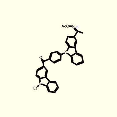 CCn1c2ccccc2c2cc(C(=O)c3ccc(-n4c5ccccc5c5cc(/C(C)=N\OC(C)=O)ccc54)cc3)ccc21